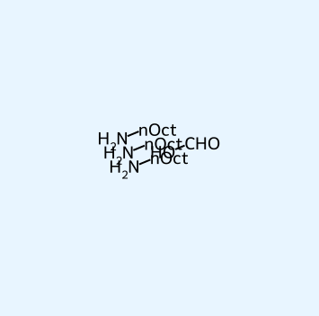 CCCCCCCCN.CCCCCCCCN.CCCCCCCCN.O=CO